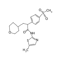 Cc1cnc(NC(=O)C(CC2CCOCC2)c2ccc(S(C)(=O)=O)cc2)s1